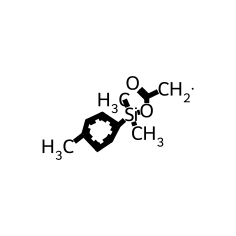 [CH2]C(=O)O[Si](C)(C)c1ccc(C)cc1